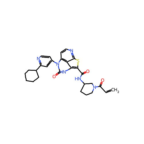 C=CC(=O)N1CCCC(NC(=O)c2sc3nccc4c3c2NC(=O)N4c2ccnc(C3CCCCC3)c2)C1